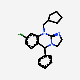 Clc1ccc2c(c1)N(CC1CCCC1)C1=NCCN1C2c1ccccc1